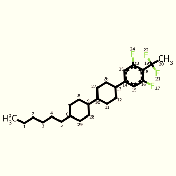 CCCCCCC1CCC(C2CCC(c3cc(F)c(C(C)(F)F)c(F)c3)CC2)CC1